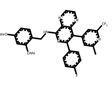 COc1ccc(CNc2nc(-c3ccc(F)cc3)c(-c3cc(C)nc(C(F)(F)F)c3)c3nccnc23)c(OC)c1